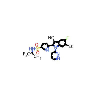 CCc1cc2c(cc1F)c(C#N)c(-c1ccc(S(=O)(=O)N[C@@H](C)C(F)(F)F)cn1)n2-c1cccnn1